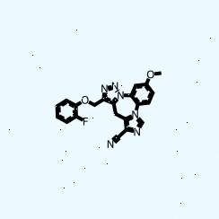 COc1ccc2c(c1)-n1nnc(COc3ccccc3F)c1Cc1c(C#N)ncn1-2